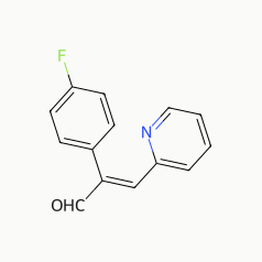 O=CC(=Cc1ccccn1)c1ccc(F)cc1